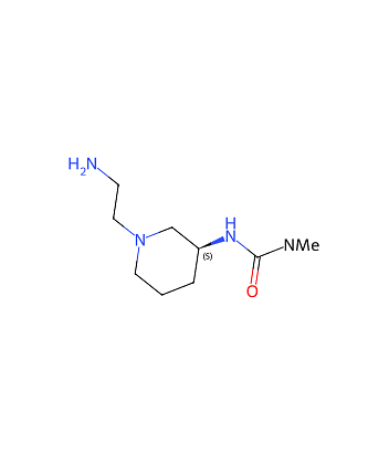 CNC(=O)N[C@H]1CCCN(CCN)C1